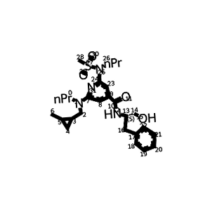 CCCN(CC1CC1C)c1cc(C(=O)N[C@H](CO)Cc2ccccc2)cc(N(CCC)S(C)(=O)=O)n1